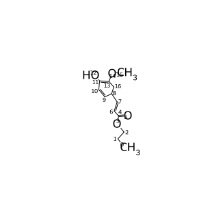 CCCOC(=O)C=CC1C=CC(O)=C(OC)C1